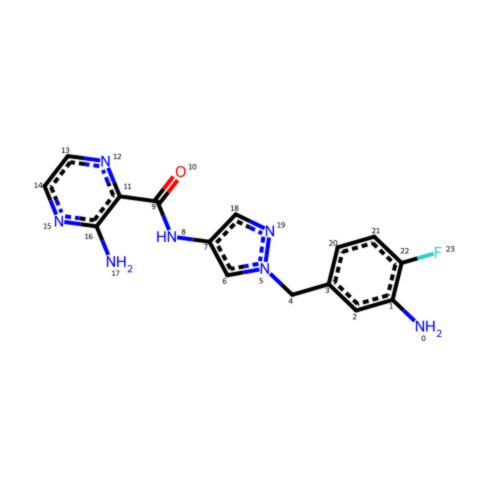 Nc1cc(Cn2cc(NC(=O)c3nccnc3N)cn2)ccc1F